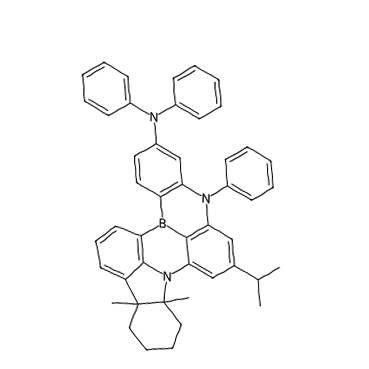 CC(C)c1cc2c3c(c1)N1c4c(cccc4C4(C)CCCCC14C)B3c1ccc(N(c3ccccc3)c3ccccc3)cc1N2c1ccccc1